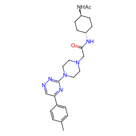 CC(=O)N[C@H]1CC[C@H](NC(=O)CN2CCN(c3nncc(-c4ccc(C)cc4)n3)CC2)CC1